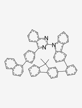 CC1(C)c2ccccc2-c2ccc(-c3ccccc3-c3ccc4c(c3)c3ccccc3n4-c3nc(-c4ccc(-c5cccc6ccccc56)cc4)c4ccccc4n3)cc21